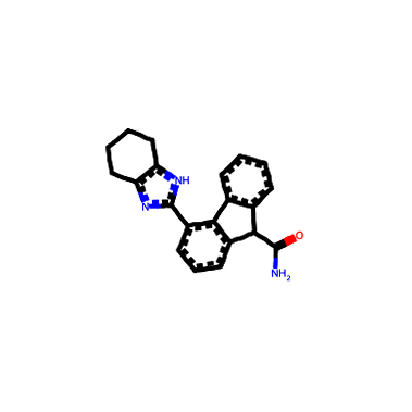 NC(=O)C1c2ccccc2-c2c(-c3nc4c([nH]3)CCCC4)cccc21